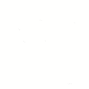 COC(=O)CCCC1CCCN(C(=O)C(CCn2cccc2C#N)NS(=O)(=O)c2cccc3[nH]ccc23)C1